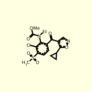 CCN(C(=O)OC)c1c(C(=O)c2cnoc2C2CC2)ccc(S(C)(=O)=O)c1Cl